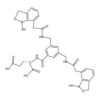 O=C(O)CC[C@H](NC(=O)c1cc(CNC(=O)Cc2cccc3c2B(O)OC3)cc(CNC(=O)Cc2cccc3c2B(O)OC3)c1)C(=O)O